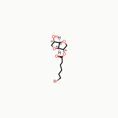 O=C(CCCCCBr)O[C@@H]1CO[C@H]2[C@@H]1OC[C@H]2O